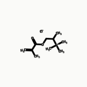 C=C(C)C(=O)OCC(C)[N+](C)(C)C.[Cl-]